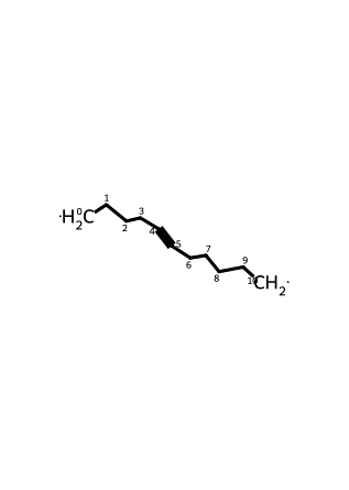 [CH2]CCCC#CCCCC[CH2]